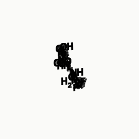 NC(CC(=O)NCCCCNC(=O)[C@H]1OC(=O)N[C@@H]1Cc1ccc(C(=O)O)cc1)Cc1cc(F)ccc1F